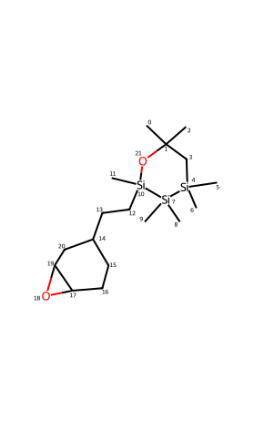 CC1(C)C[Si](C)(C)[Si](C)(C)[Si](C)(CCC2CCC3OC3C2)O1